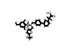 CCc1cc(C)c(S(=O)(=O)N(Cc2ccc(-c3cccc(C(C)(C)C(=O)O)c3)cc2)Cc2ccc(C(F)(F)F)o2)c(C)c1